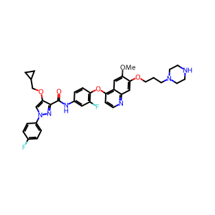 COc1cc2c(Oc3ccc(NC(=O)c4nn(-c5ccc(F)cc5)cc4OCC4CC4)cc3F)ccnc2cc1OCCCN1CCNCC1